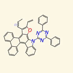 C=Cc1oc2c(c1/C=C\C)c1c3ccccc3c3ccccc3c1c1c3ccccc3n(-c3nc(-c4ccccc4)nc(-c4ccccc4)n3)c21